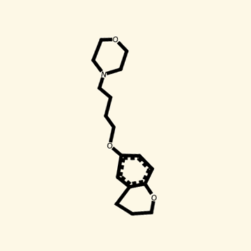 c1cc2c(cc1OCCCCN1CCOCC1)CCCO2